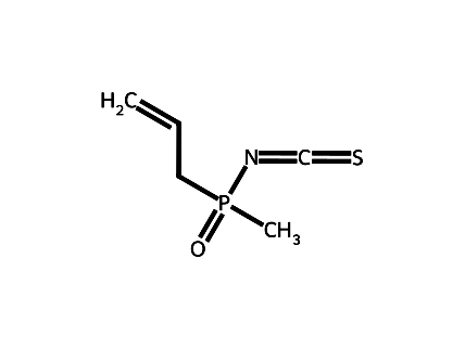 C=CCP(C)(=O)N=C=S